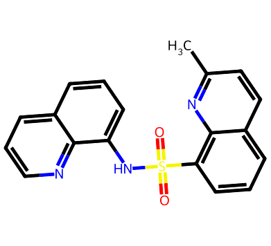 Cc1ccc2cccc(S(=O)(=O)Nc3cccc4cccnc34)c2n1